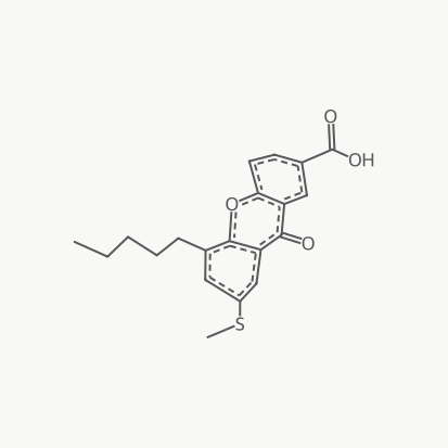 CCCCCc1cc(SC)cc2c(=O)c3cc(C(=O)O)ccc3oc12